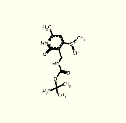 Cc1cc([S+](C)[O-])c(CNC(=O)OC(C)(C)C)c(=O)[nH]1